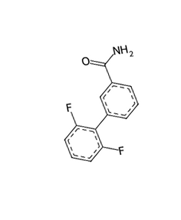 NC(=O)c1cccc(-c2c(F)cccc2F)c1